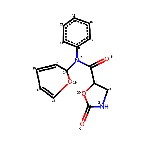 O=C1NCC(C(=O)N(c2ccccc2)C2C=CC=CO2)O1